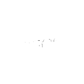 CCCC[O][Fe+][O]CCCC.[Cl-]